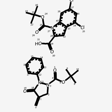 C=C1CN(C(=O)OC(C)(C)C)N(c2ccccc2)C1=O.CC(C)(C)OC(=O)n1c(C(=O)O)cc2c(Cl)cc(Cl)cc21